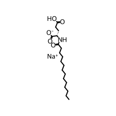 CCCCCCCCCCCCCC(=O)N[C@@H](CCC(=O)O)C(=O)[O-].[Na+]